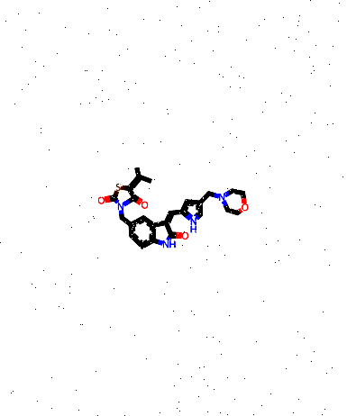 CC(C)=C1SC(=O)N(Cc2ccc3c(c2)C(=Cc2cc(CN4CCOCC4)c[nH]2)C(=O)N3)C1=O